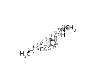 CCCCCCCCCCCCCCCCNCC.ClCCc1ccccc1